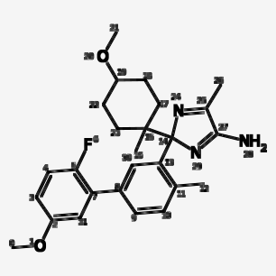 COc1ccc(F)c(-c2ccc(C)c(C3(C4(C)CCC(OC)CC4)N=C(C)C(N)=N3)c2)c1